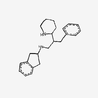 c1ccc(CC(CNC2Cc3ccccc3C2)C2CCCCN2)cc1